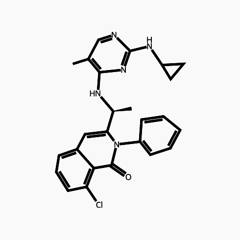 Cc1cnc(NC2CC2)nc1N[C@@H](C)c1cc2cccc(Cl)c2c(=O)n1-c1ccccc1